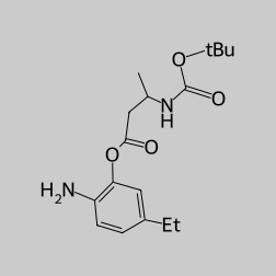 CCc1ccc(N)c(OC(=O)CC(C)NC(=O)OC(C)(C)C)c1